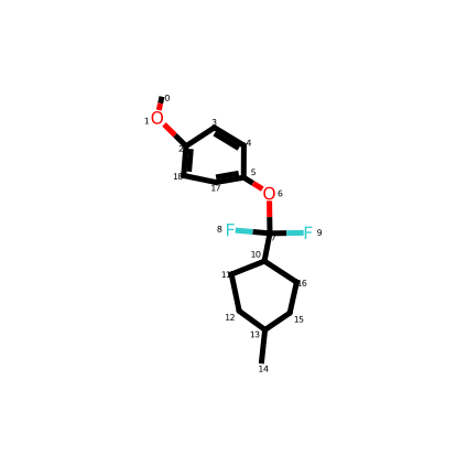 COc1ccc(OC(F)(F)C2CCC(C)CC2)cc1